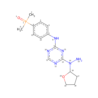 CP(C)(=O)c1ccc(Nc2ncnc(N(N)C3CCCO3)n2)cc1